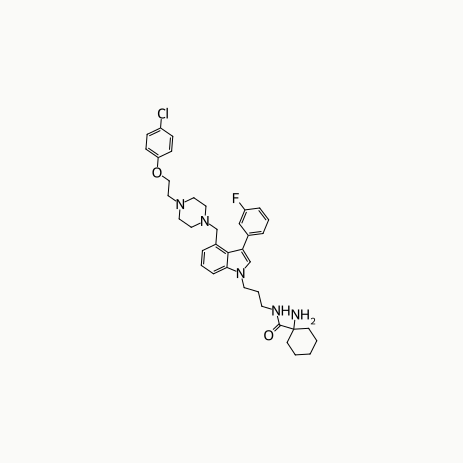 NC1(C(=O)NCCCn2cc(-c3cccc(F)c3)c3c(CN4CCN(CCOc5ccc(Cl)cc5)CC4)cccc32)CCCCC1